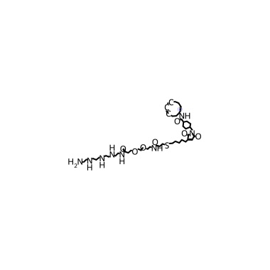 NCCNCCCNCCNCCNC(=O)CCOCCOCCNC(=O)CCSCCCCCCC1=CC(=O)N(CC2CCC(C(=O)NC3/C=C\CCCCCCCCC3)CC2)C1=O